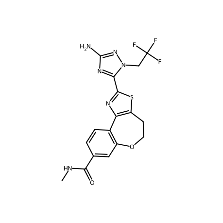 CNC(=O)c1ccc2c(c1)OCCc1sc(-c3nc(N)nn3CC(F)(F)F)nc1-2